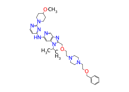 COC1CCN(c2nccc(Nc3cc4c(cn3)nc(COCCN3CCN(CCOCc5ccccc5)CC3)n4C(C)C)n2)CC1